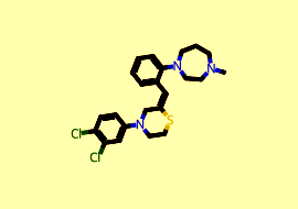 CN1CCCN(c2ccccc2C=C2CN(c3ccc(Cl)c(Cl)c3)CCS2)CC1